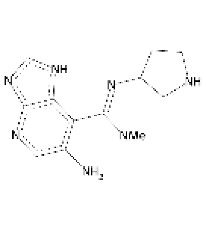 CNC(=NC1CCNC1)c1c(N)cnc2nc[nH]c12